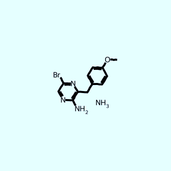 COc1ccc(Cc2nc(Br)cnc2N)cc1.N